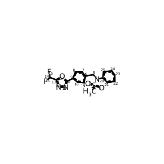 CS(=O)(=O)N(Cc1ccc(-c2nnc(C(F)F)o2)cc1)c1ccccc1